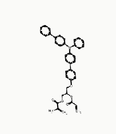 C=CC(=O)OC(COC(=O)C(=C)C)COc1ccc(-c2ccc(N(c3ccccc3)c3ccc(-c4ccccc4)cc3)cc2)cc1